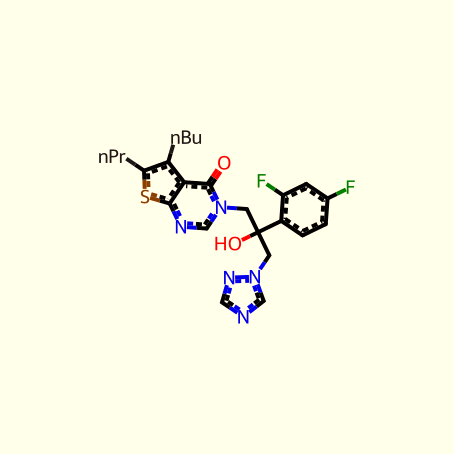 CCCCc1c(CCC)sc2ncn(CC(O)(Cn3cncn3)c3ccc(F)cc3F)c(=O)c12